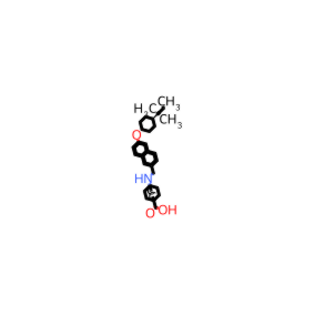 CCC(C)(C)[C@H]1CC[C@H](Oc2ccc3cc(CNC45CCC(C(=O)O)(CC4)CC5)ccc3c2)CC1